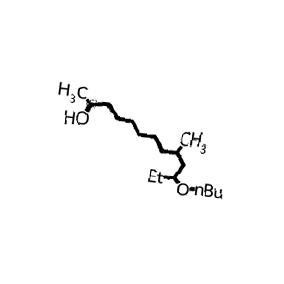 CCCCOC(CC)CC(C)CCCCCC[C@H](C)O